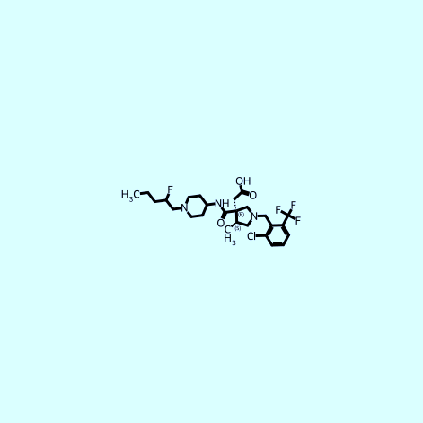 CCCC(F)CN1CCC(NC(=O)[C@@]2(CC(=O)O)CN(Cc3c(Cl)cccc3C(F)(F)F)C[C@H]2C)CC1